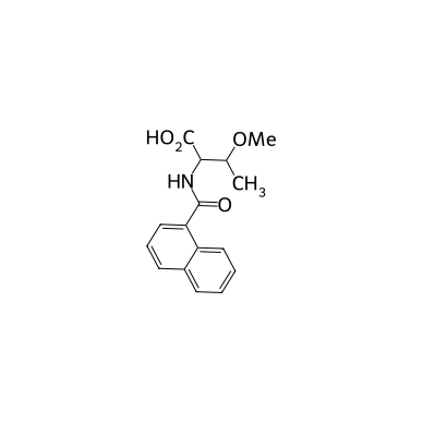 COC(C)C(NC(=O)c1cccc2ccccc12)C(=O)O